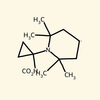 CC1(C)C[CH]CC(C)(C)N1C1(C(=O)O)CC1